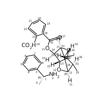 C[C@@H](N)c1ccccc1.C[C@@H]1[C@@H]2O[C@@H]3[C@@H](OC(=O)c4ccccc4C(=O)O)[C@H]1O[C@@H]3[C@H]2C